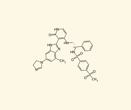 Cc1cc(N2C=NCC2)cc2[nH]c(-c3c(NC[C@@H](NS(=O)(=O)c4ccc(S(C)(=O)=O)cc4)c4ccccc4)cc[nH]c3=O)nc12